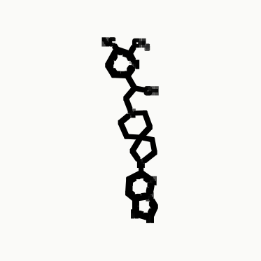 Cc1nc(C(O)CN2CCC3(CC2)CCN(c2ccc4nncn4n2)C3)ccc1C#N